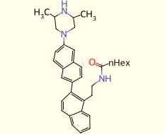 CCCCCCC(=O)NCCc1c(-c2ccc3cc(N4CC(C)NC(C)C4)ccc3c2)ccc2ccccc12